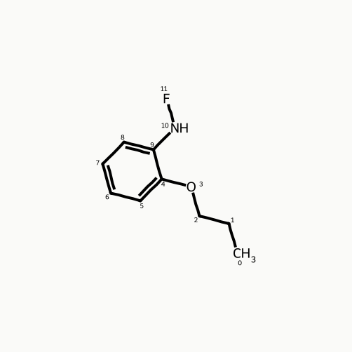 CCCOc1ccccc1NF